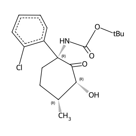 C[C@@H]1CC[C@@](NC(=O)OC(C)(C)C)(c2ccccc2Cl)C(=O)[C@@H]1O